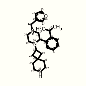 CC(C)c1ccccc1C1CN(Cc2ccoc2)CCN1C1CC2(CCNCC2)C1